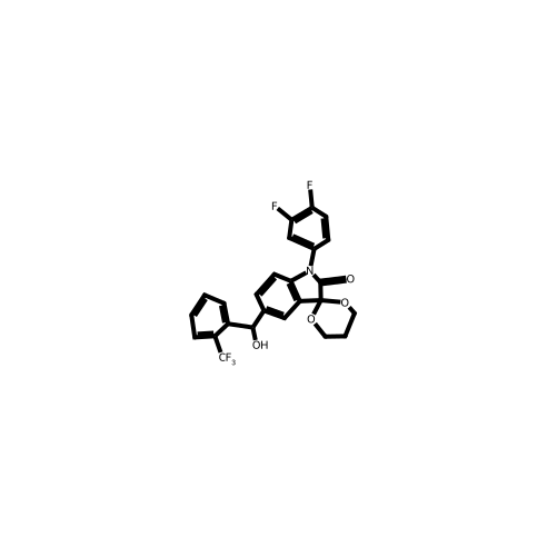 O=C1N(c2ccc(F)c(F)c2)c2ccc(C(O)c3ccccc3C(F)(F)F)cc2C12OCCCO2